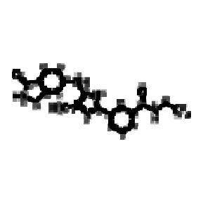 Cn1nc(-c2cccc(C(=O)NCC(F)(F)F)c2)nc1Nc1ccc2c(c1)CNC2=O